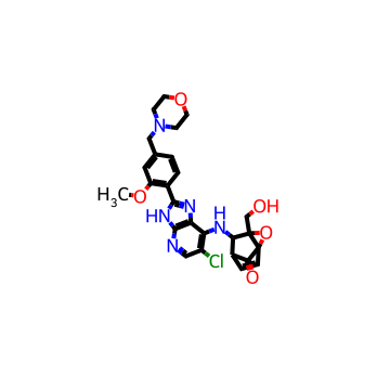 COc1cc(CN2CCOCC2)ccc1-c1nc2c(NC3C4C=CC5(OC35CO)C4=O)c(Cl)cnc2[nH]1